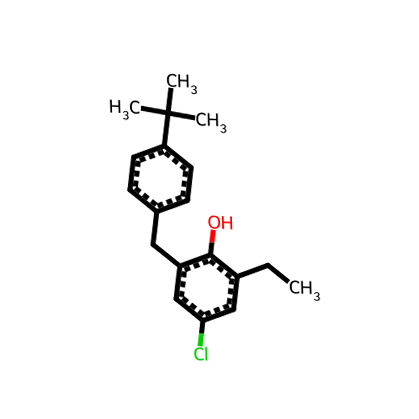 CCc1cc(Cl)cc(Cc2ccc(C(C)(C)C)cc2)c1O